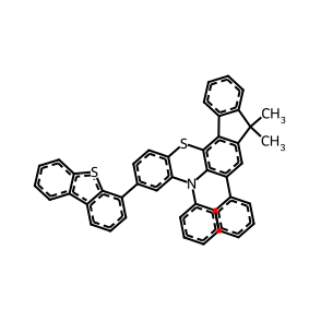 CC1(C)c2ccccc2-c2c1cc(-c1ccccc1)c1c2Sc2ccc(-c3cccc4c3sc3ccccc34)cc2N1c1ccccc1